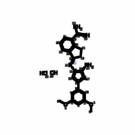 COc1cc(OC)cc(-c2cn(/N=C3\CCc4c(C(=N)N)cccc43)c(N)n2)c1.Cl.Cl